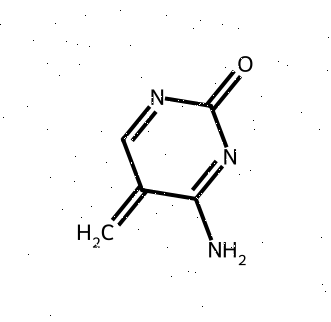 C=C1C=NC(=O)N=C1N